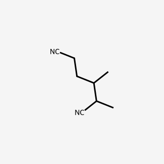 CC(C#N)C(C)CCC#N